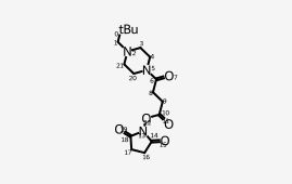 CC(C)(C)CN1CCN(C(=O)CCC(=O)ON2C(=O)CCC2=O)CC1